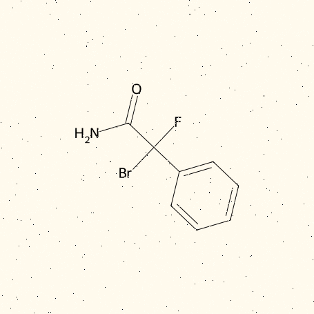 NC(=O)C(F)(Br)c1ccccc1